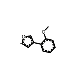 COc1ccccc1-c1c[c]oc1